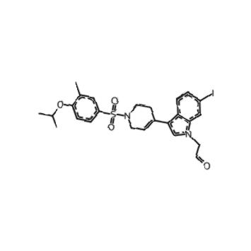 Cc1cc(S(=O)(=O)N2CC=C(c3cn(CC=O)c4cc(I)ccc34)CC2)ccc1OC(C)C